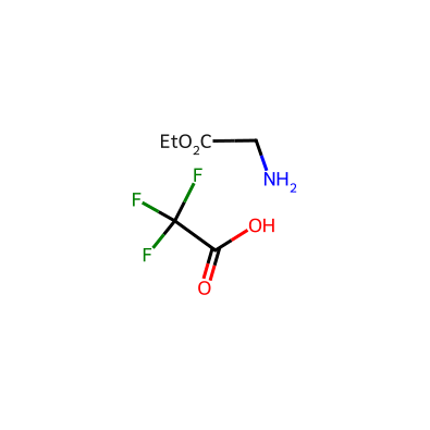 CCOC(=O)CN.O=C(O)C(F)(F)F